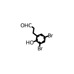 O=CCCc1cc(Br)cc(Br)c1O